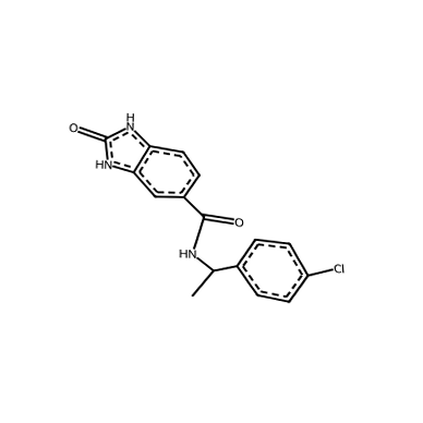 CC(NC(=O)c1ccc2[nH]c(=O)[nH]c2c1)c1ccc(Cl)cc1